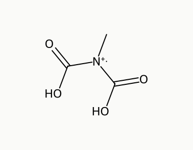 C[N+](C(=O)O)C(=O)O